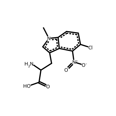 Cn1cc(CC(N)C(=O)O)c2c([N+](=O)[O-])c(Cl)ccc21